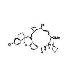 CO[C@@H]1C/C=C/[C@H](O)C2CCC2CN2C[C@@]3(CCCc4cc(Cl)ccc43)COc3ccc(cc32)C(=O)NS(=O)(=O)[C@H]1CC1CCC1